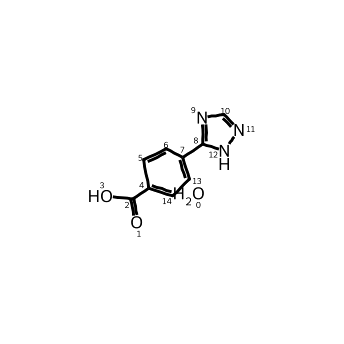 O.O=C(O)c1ccc(-c2ncn[nH]2)cc1